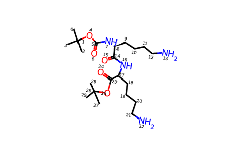 CC(C)(C)OC(=O)N[C@@H](CCCCN)C(=O)NC(CCCCN)C(=O)OC(C)(C)C